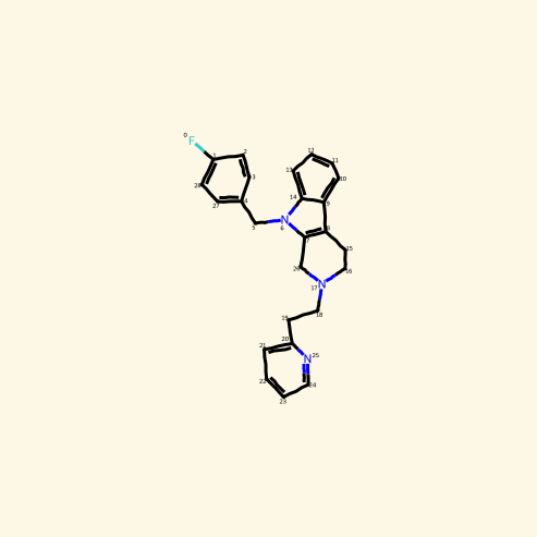 Fc1ccc(Cn2c3c(c4ccccc42)CCN(CCc2ccccn2)C3)cc1